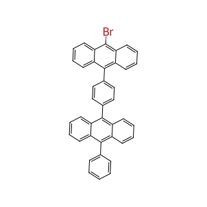 Brc1c2ccccc2c(-c2ccc(-c3c4ccccc4c(-c4ccccc4)c4ccccc34)cc2)c2ccccc12